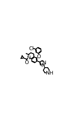 CC1CCc2c(ccc(-c3cnn(C4CCNCC4)c3)c2Oc2cccc(Cl)c2)N1C(=O)C1CC1